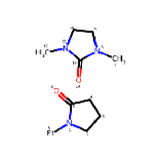 CCN1CCCC1=O.CN1CCN(C)C1=O